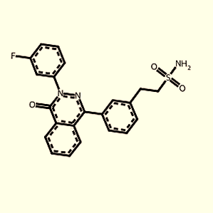 NS(=O)(=O)CCc1cccc(-c2nn(-c3cccc(F)c3)c(=O)c3ccccc23)c1